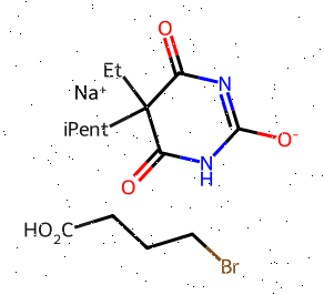 CCCC(C)C1(CC)C(=O)N=C([O-])NC1=O.O=C(O)CCCBr.[Na+]